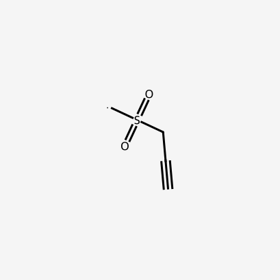 C#CCS([CH2])(=O)=O